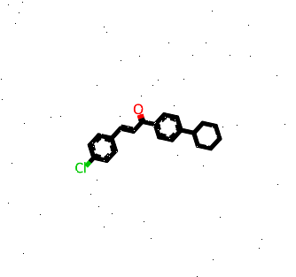 O=C(C=Cc1ccc(Cl)cc1)c1ccc(C2CCCCC2)cc1